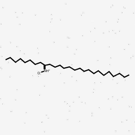 CCCCCCCCCCCCCCCCCC(CCCCCCCC)=[NH+][O-]